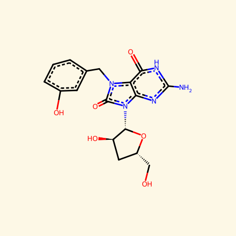 Nc1nc2c(c(=O)[nH]1)n(Cc1cccc(O)c1)c(=O)n2[C@@H]1O[C@H](CO)C[C@H]1O